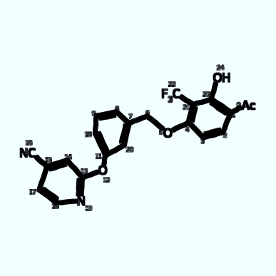 CC(=O)c1ccc(OCc2cccc(Oc3cc(C#N)ccn3)c2)c(C(F)(F)F)c1O